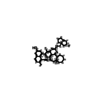 C#Cc1c(F)ccc2cc(O)cc(-c3nc4c5c(nc(OC[C@@]67CCCN6C[C@H](F)C7)nc5c3F)N3CCCCC[C@@H]3CC4)c12